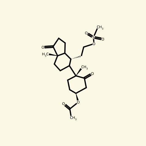 CC(=O)O[C@H]1CC[C@](C)(C2CC[C@]3(C)C(=O)CCC3[C@@H]2CCOS(C)(=O)=O)C(=O)C1